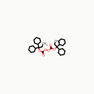 CCC(OC(=O)OOC(=O)OC(CC)(C1CCCCC1)C1CCCCC1)(C1CCCCC1)C1CCCCC1